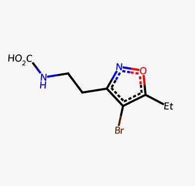 CCc1onc(CCNC(=O)O)c1Br